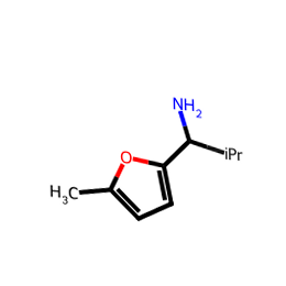 Cc1ccc(C(N)C(C)C)o1